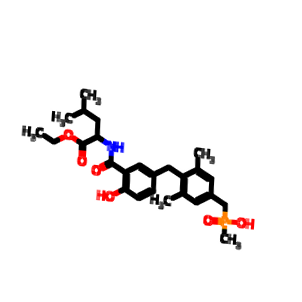 CCOC(=O)C(CC(C)C)NC(=O)c1cc(Cc2c(C)cc(CP(C)(=O)O)cc2C)ccc1O